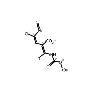 C=N/C(Cl)=C\C(C(=O)O)=C(/C)NC(=O)OC(C)(C)C